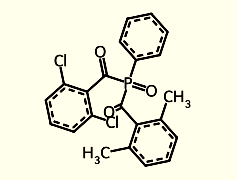 Cc1cccc(C)c1C(=O)P(=O)(C(=O)c1c(Cl)cccc1Cl)c1ccccc1